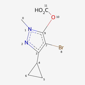 Cn1nc(C2CC2)c(Br)c1OC(=O)O